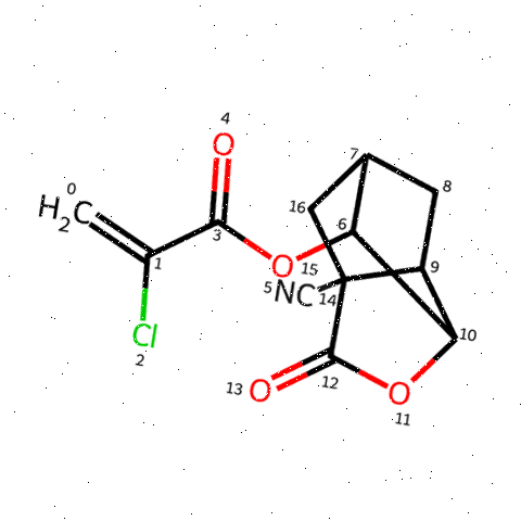 C=C(Cl)C(=O)OC1C2CC3C1OC(=O)C3(C#N)C2